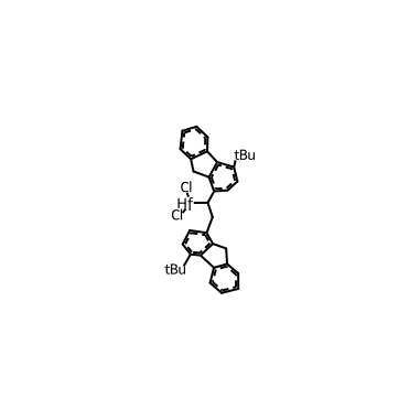 CC(C)(C)c1ccc(C[CH](c2ccc(C(C)(C)C)c3c2Cc2ccccc2-3)[Hf]([Cl])[Cl])c2c1-c1ccccc1C2